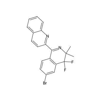 CC1(C)N=C(c2ccc3ccccc3n2)c2ccc(Br)cc2C1(F)F